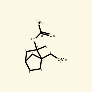 COCC12CCC(C1)CC2(C)OC(=O)C(C)(C)C